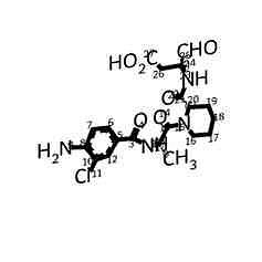 C[C@H](NC(=O)c1ccc(N)c(Cl)c1)C(=O)N1CCCC[C@H]1C(=O)N[C@H](C=O)CC(=O)O